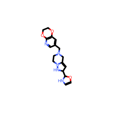 C1=COC(C2C=C3CN(Cc4cnc5c(c4)OCCO5)CCN3N2)N1